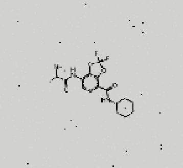 CC(N)C(=O)Nc1ccc(C(=O)NC2CCCCC2)c2c1OC(F)(F)O2